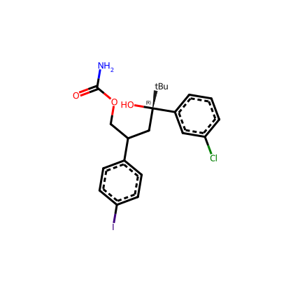 CC(C)(C)[C@](O)(CC(COC(N)=O)c1ccc(I)cc1)c1cccc(Cl)c1